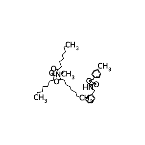 CCCCCCCC(=O)[N+](C)(C(=O)CCCCCCC)C(=O)CCCCCCC.Cc1ccc(S(=O)(=O)NCc2ccccc2)cc1